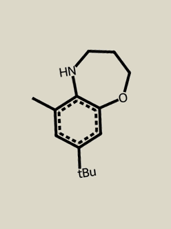 Cc1cc(C(C)(C)C)cc2c1NCCCO2